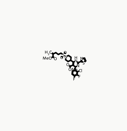 C=C(CCCS(=O)(=O)N1CCC(C2=C(C(=O)OC)C(c3ccc(F)c(F)c3Cl)N=C(c3nccs3)N2)CC1)C(=O)OC